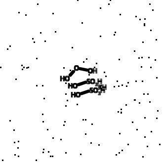 O=S(=O)(O)O.O=S(=O)(O)O.OOO.[KH]